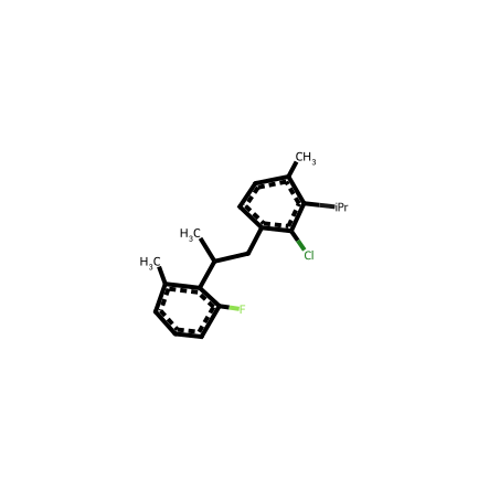 Cc1ccc(CC(C)c2c(C)cccc2F)c(Cl)c1C(C)C